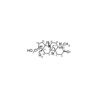 CN1C(=O)CC[C@]2(C)[C@H]3CC[C@]4(C)C(C(=O)O)CC[C@H]4[C@@H]3CC[C@@H]12